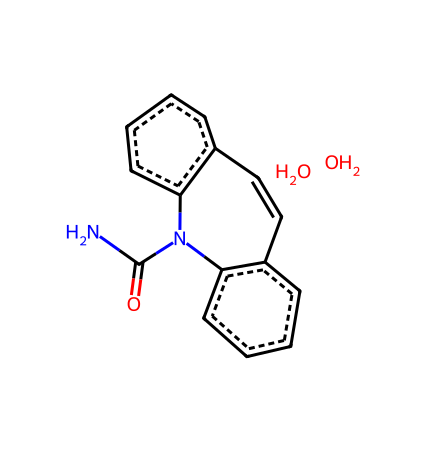 NC(=O)N1c2ccccc2C=Cc2ccccc21.O.O